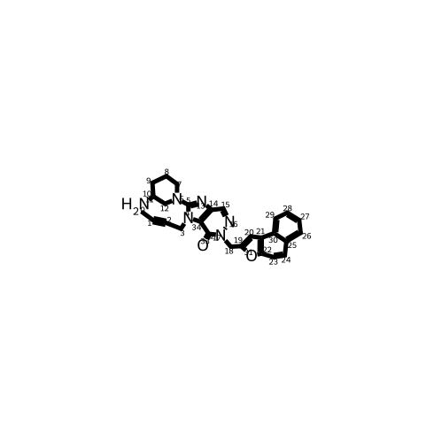 CC#CCn1c(N2CCCC(N)C2)nc2cnn(Cc3cc4c(ccc5ccccc54)o3)c(=O)c21